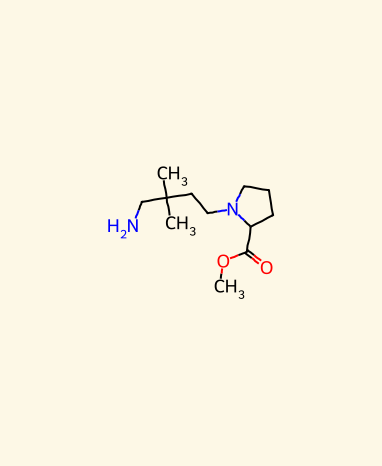 COC(=O)C1CCCN1CCC(C)(C)CN